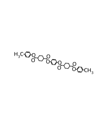 Cc1ccc(OC(=O)C2CCC(C(=O)Oc3ccc(OC(=O)C4CCC(C(=O)Oc5ccc(C)cc5)CC4)cc3)CC2)cc1